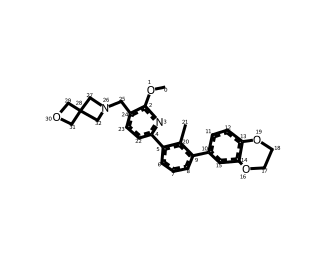 COc1nc(-c2cccc(-c3ccc4c(c3)OCCO4)c2C)ccc1CN1CC2(COC2)C1